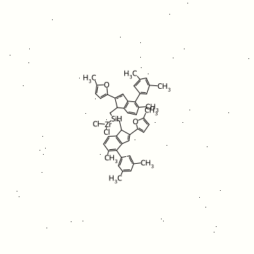 Cc1cc(C)cc(-c2c(C)ccc3c2C=C(c2ccc(C)o2)C3C[SiH](CC2C(c3ccc(C)o3)=Cc3c2ccc(C)c3-c2cc(C)cc(C)c2)[Zr]([Cl])[Cl])c1